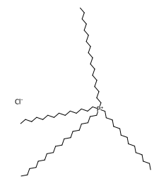 CCCCCCCCCCCCCCCCCC[P+](CCCCCCCCCCCCCC)(CCCCCCCCCCCCCC)CCCCCCCCCCCCCCCCCC.[Cl-]